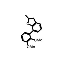 COc1cccc(-c2cccc3c2OC(C)C3)c1OC